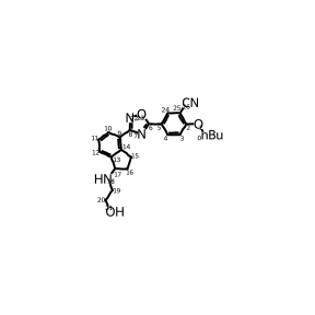 CCCCOc1ccc(-c2nc(-c3cccc4c3CCC4NCCO)no2)cc1C#N